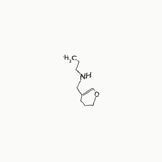 [CH2]CCNCC1=COCCC1